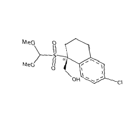 COC(OC)S(=O)(=O)[C@]1(CO)CCCc2cc(Cl)ccc21